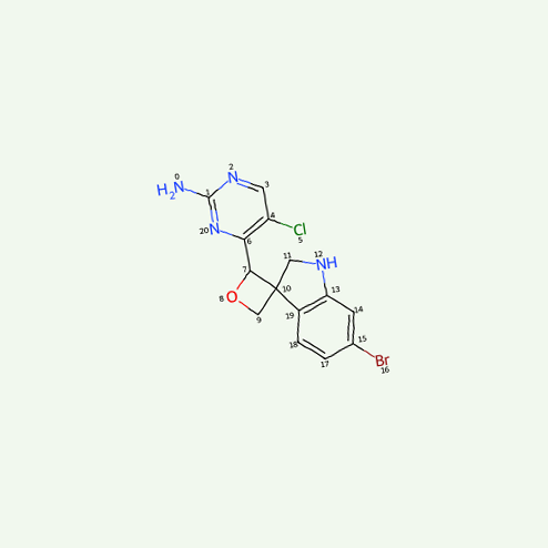 Nc1ncc(Cl)c(C2OCC23CNc2cc(Br)ccc23)n1